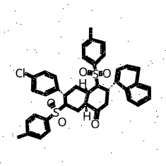 Cc1ccc(S(=O)(=O)C2C[C@H]3C(=O)C[C@@H](c4cccc5ccccc45)C(S(=O)(=O)c4ccc(C)cc4)[C@H]3C[C@H]2c2ccc(Cl)cc2)cc1